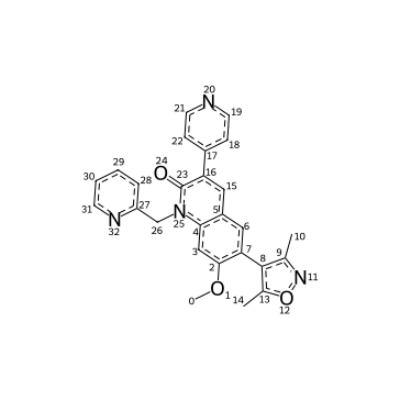 COc1cc2c(cc1-c1c(C)noc1C)cc(-c1ccncc1)c(=O)n2Cc1ccccn1